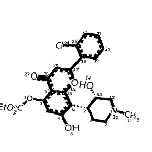 CCOC(=O)Oc1cc(O)c([C@H]2CCN(C)C[C@H]2O)c2oc(-c3ccccc3Cl)cc(=O)c12